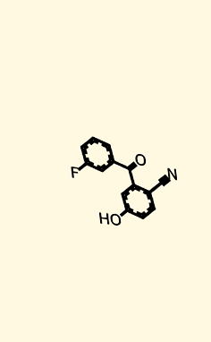 N#Cc1ccc(O)cc1C(=O)c1cccc(F)c1